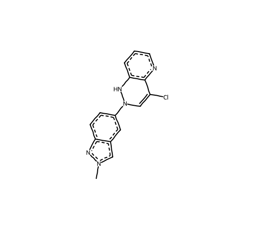 Cn1cc2cc(N3C=C(Cl)c4ncccc4N3)ccc2n1